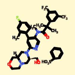 Cc1cc(F)ccc1-c1cc(N2C[C@H]3COCCN3C[C@H]2CO)ncc1N(C)C(=O)C(C)(C)c1cc(C(F)(F)F)cc(C(F)(F)F)c1.O=S(=O)(O)c1ccccc1